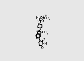 Cn1c(N2CCN(C(=O)OC(C)(C)C)CC2)nc2ccc(C3CCC(=O)NC3=O)cc21